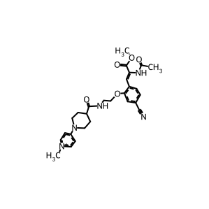 COC(=O)C(=Cc1ccc(C#N)cc1OCCNC(=O)C1CCN(c2cc[n+](C)cc2)CC1)NC(C)=O